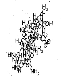 CCCC[C@H](NC(=O)[C@H](C)NC(=O)[C@H](CCC(=O)O)NC(=O)[C@H](Cc1ccc([N+](=O)[O-])cc1)NC(=O)[C@H](CC(C)C)NC(=O)[C@@H](NC(=O)[C@H](CCCNC(=N)N)NC(=O)[C@H](C)NC(=O)[C@H](CCCCN)NC(=O)[C@@H](N)Cc1c[nH]cn1)C(C)C)C(=O)N[C@@H](CO)C(N)=O